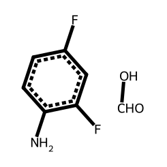 Nc1ccc(F)cc1F.O=CO